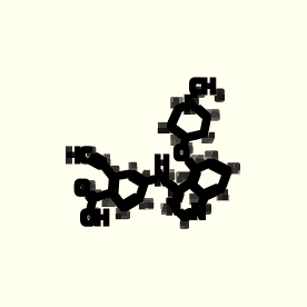 C#Cc1cc(Nc2ncnc3cccc(OC4CCN(C)CC4)c23)ccc1C(=O)O